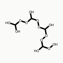 OOC(O)OOC(O)OOC(O)OOC(O)O